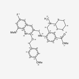 CNc1cc(F)cc2cc(CNc3ccc(C(=O)OC)cc3CN(C)C3CCCCC3)c(OCc3ccc(OC)cc3)nc12